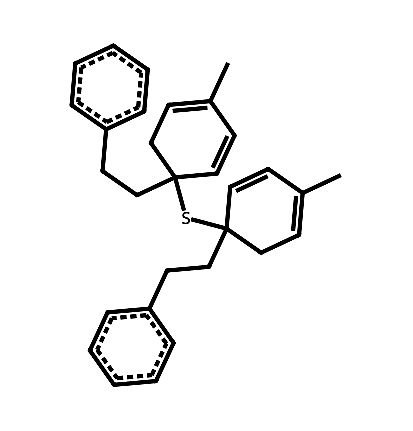 CC1=CCC(CCc2ccccc2)(SC2(CCc3ccccc3)C=CC(C)=CC2)C=C1